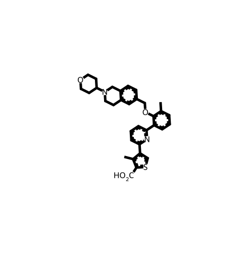 Cc1cccc(-c2cccc(-c3csc(C(=O)O)c3C)n2)c1OCc1ccc2c(c1)CCN(C1CCOCC1)C2